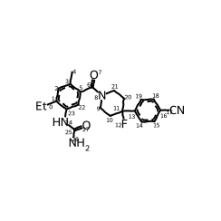 CCc1cc(C)c(C(=O)N2CCC(F)(c3ccc(C#N)cc3)CC2)cc1NC(N)=O